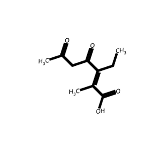 CCC(C(=O)CC(C)=O)=C(C)C(=O)O